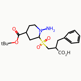 CC(C)(C)OC(=O)C1CCN(N)C(S(=O)(=O)CC(Cc2ccccc2)C(=O)O)C1